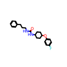 O=C(NCCCc1ccccc1)NC1CCC(Oc2ccc(F)cc2)CC1